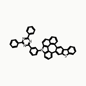 c1ccc(-c2nc(-c3ccccc3)nc(-c3cccc(-n4c5cccc6c5c5c7c(cccc7ccc54)-c4cc5c(cc4-6)sc4ccccc45)c3)n2)cc1